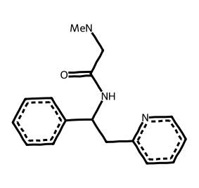 CNCC(=O)NC(Cc1ccccn1)c1ccccc1